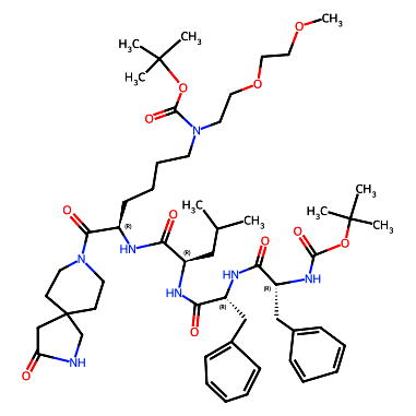 COCCOCCN(CCCC[C@@H](NC(=O)[C@@H](CC(C)C)NC(=O)[C@@H](Cc1ccccc1)NC(=O)[C@@H](Cc1ccccc1)NC(=O)OC(C)(C)C)C(=O)N1CCC2(CC1)CNC(=O)C2)C(=O)OC(C)(C)C